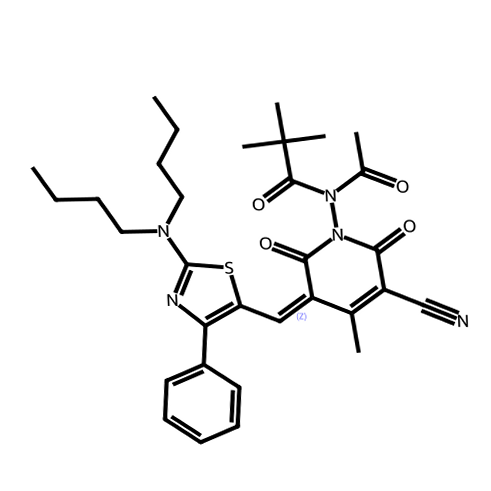 CCCCN(CCCC)c1nc(-c2ccccc2)c(/C=C2\C(=O)N(N(C(C)=O)C(=O)C(C)(C)C)C(=O)C(C#N)=C2C)s1